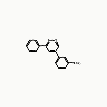 O=Cc1cccc(-c2cnnc(-c3ccccc3)c2)c1